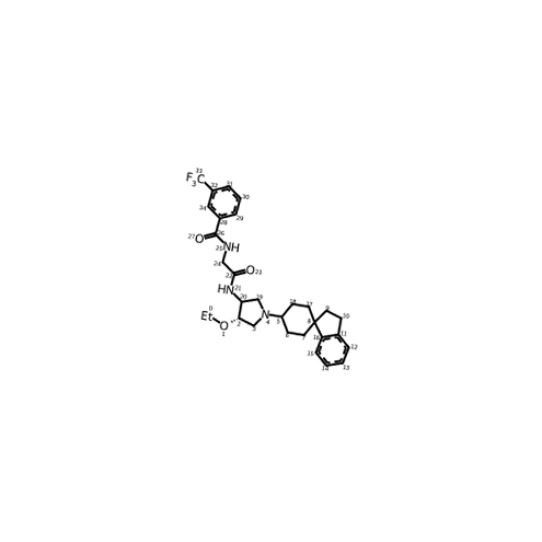 CCO[C@H]1CN(C2CCC3(CCc4ccccc43)CC2)CC1NC(=O)CNC(=O)c1cccc(C(F)(F)F)c1